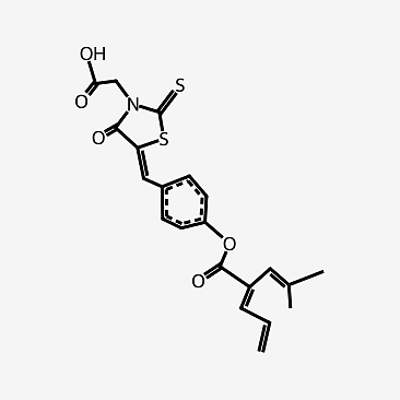 C=C/C=C(\C=C(C)C)C(=O)Oc1ccc(/C=C2\SC(=S)N(CC(=O)O)C2=O)cc1